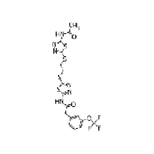 CC(=O)Nc1nnc(SCCSc2nnc(NC(=O)Cc3cccc(OC(F)(F)F)c3)s2)s1